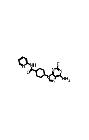 Nc1nc(Cl)nc2c1ncn2C1CCC(C(=O)Nc2ccccn2)CC1